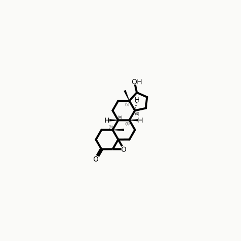 C[C@]12CC[C@@H]3[C@@H](CCC45OC4C(=O)CC[C@]35C)[C@@H]1CCC2O